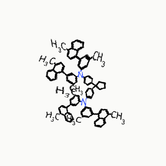 Cc1cc(-c2ccc(C)c3ccccc23)cc(N(c2ccc(C3(c4ccc(N(c5cc(C)cc(-c6ccc(C)c7ccccc67)c5)c5cc(C)cc(-c6ccc(C)c7ccccc67)c5)cc4)CCCC3)cc2)c2cc(C)cc(-c3ccc(C)c4ccccc34)c2)c1